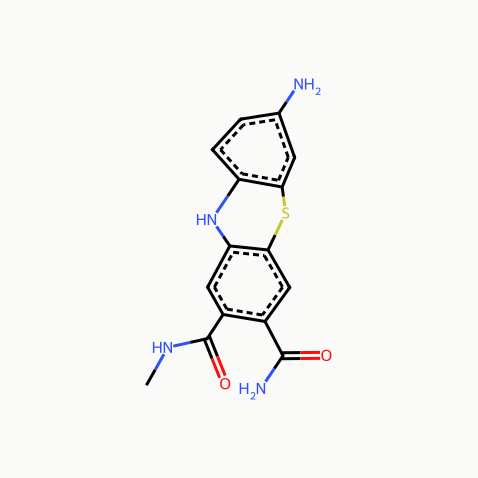 CNC(=O)c1cc2c(cc1C(N)=O)Sc1cc(N)ccc1N2